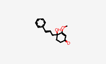 COC1=CC(=O)CCC1(O)CC=Cc1ccccc1